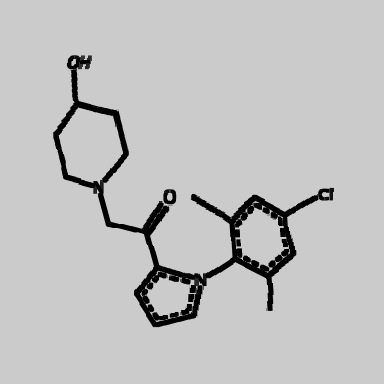 Cc1cc(Cl)cc(C)c1-n1cccc1C(=O)CN1CCC(O)CC1